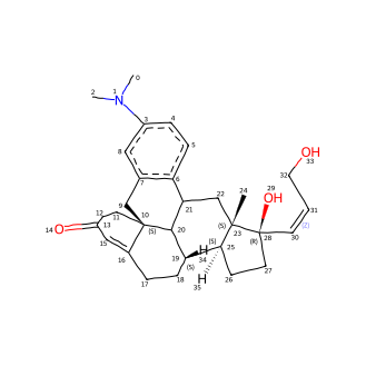 CN(C)c1ccc2c(c1)C[C@]13CCC(=O)C=C1CC[C@@H]1C3C2C[C@@]2(C)[C@H]1CC[C@@]2(O)/C=C\CO